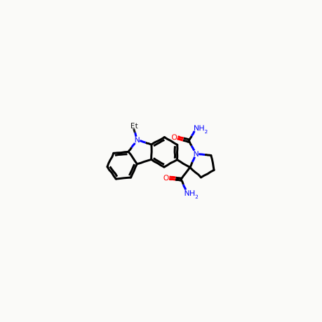 CCn1c2ccccc2c2cc(C3(C(N)=O)CCCN3C(N)=O)ccc21